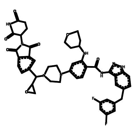 O=C1CCC(N2C(=O)c3ccc(C(C4CO4)N4CCN(c5ccc(C(=O)Nc6n[nH]c7ccc(Cc8cc(F)cc(F)c8)cc67)c(NC6CCOCC6)c5)CC4)cc3C2=O)C(=O)N1